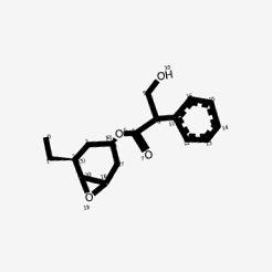 CC[C@H]1C[C@@H](OC(=O)C(CO)c2ccccc2)CC2OC21